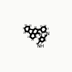 N#Cc1ccc(C=N)cc1-n1c2ccccc2c2cc3c4c(cccc4c21)-c1ccccc1-3